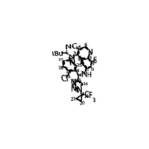 CC(C)(C)CNc1c(C#N)cnc2c(F)cc(N[C@H](c3cn(C4(C(F)(F)F)CC4)nn3)c3ccccc3Cl)cc12